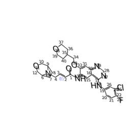 O=C(/C=C/CN1C2CCC1COC2)Nc1cc2c(Nc3ccc(F)c(Cl)c3)ncnc2cc1OCC1CCOCC1